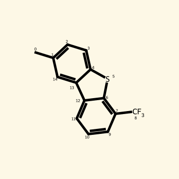 Cc1ccc2sc3c(C(F)(F)F)cccc3c2c1